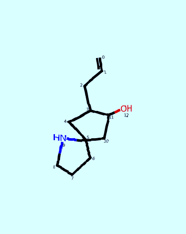 C=CCC1CC2(CCCN2)CC1O